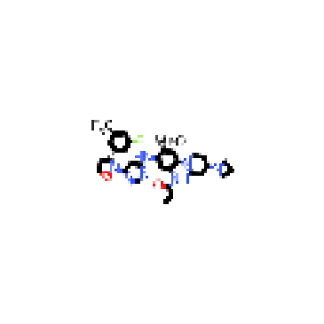 C=CC(=O)Nc1cc(Nc2cc(N3OCC[C@@H]3c3cc(F)cc(C(F)(F)F)c3)ncn2)c(OC)cc1N1CCC(N2CCC2)CC1